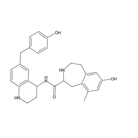 Cc1cc(O)cc2c1CC(C(=O)NC1CCNc3ccc(Cc4ccc(O)cc4)cc31)NCC2